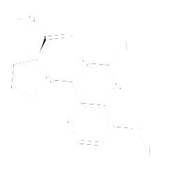 CC(C)Oc1cccc2c(N3CCC[C@H]3C(N)=O)nc(Cl)nc12